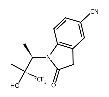 C[C@@H](N1C(=O)Cc2cc(C#N)ccc21)[C@](C)(O)C(F)(F)F